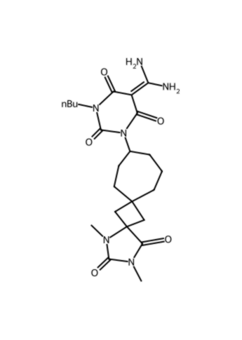 CCCCN1C(=O)C(=C(N)N)C(=O)N(C2CCCC3(CC2)CC2(C3)C(=O)N(C)C(=O)N2C)C1=O